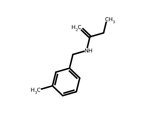 C=C(CC)NCc1cccc(C)c1